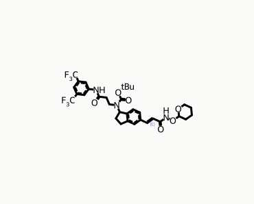 CC(C)(C)OC(=O)N(CCC(=O)Nc1cc(C(F)(F)F)cc(C(F)(F)F)c1)C1CCc2cc(/C=C/C(=O)NOC3CCCCO3)ccc21